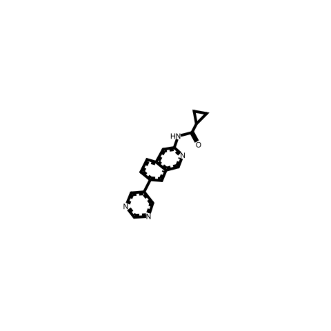 O=C(Nc1cc2ccc(-c3cncnc3)cc2cn1)C1CC1